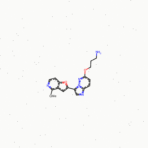 COc1nccc2oc(-c3cnc4ccc(OCCCN)nn34)cc12